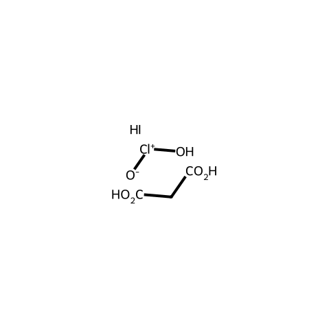 I.O=C(O)CC(=O)O.[O-][Cl+]O